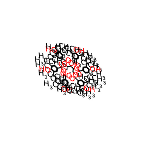 CC(C)(C)c1cc(C(=O)OC[C@@H](OC(=O)c2cc(C(C)(C)C)c(O)c(C(C)(C)C)c2)[C@@H](OC(=O)c2cc(C(C)(C)C)c(O)c(C(C)(C)C)c2)[C@H](OC(=O)c2cc(C(C)(C)C)c(O)c(C(C)(C)C)c2)[C@@H](COC(=O)c2cc(C(C)(C)C)c(O)c(C(C)(C)C)c2)OC(=O)c2cc(C(C)(C)C)c(O)c(C(C)(C)C)c2)cc(C(C)(C)C)c1O